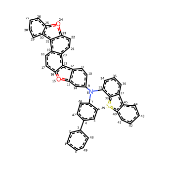 c1ccc(-c2ccc(N(c3ccc4c(c3)oc3ccc5c(ccc6oc7ccccc7c65)c34)c3cccc4c3sc3ccccc34)cc2)cc1